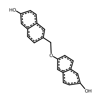 Oc1ccc2cc(COc3ccc4cc(O)ccc4c3)ccc2c1